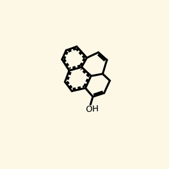 OC1=CCC2C=Cc3cccc4ccc1c2c34